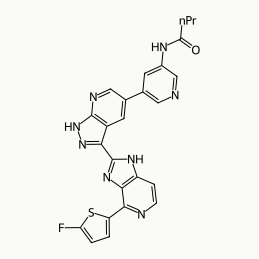 CCCC(=O)Nc1cncc(-c2cnc3[nH]nc(-c4nc5c(-c6ccc(F)s6)nccc5[nH]4)c3c2)c1